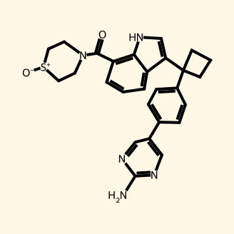 Nc1ncc(-c2ccc(C3(c4c[nH]c5c(C(=O)N6CC[S+]([O-])CC6)cccc45)CCC3)cc2)cn1